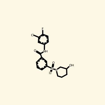 O=C(Nc1ccc(F)c(Cl)c1)c1cccc(S(=O)(=O)N2CCCC(O)C2)c1